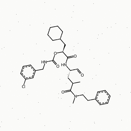 CC(C[C@@H](C=O)NC(=O)[C@H](CC1CCCCC1)OC(=O)NCc1cccc(Cl)c1)C(=O)N(C)CCc1ccccc1